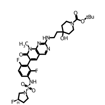 Cn1c(=O)c(-c2c(F)ccc(NS(=O)(=O)N3CC[C@@H](F)C3)c2F)cc2cnc(NCCC3(O)CCN(C(=O)OC(C)(C)C)CC3)nc21